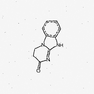 O=C1[C]CN2C(=N1)Nc1ccccc12